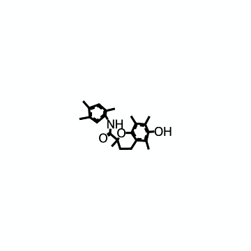 Cc1cc(C)c(NC(=O)C2(C)CCc3c(C)c(O)c(C)c(C)c3O2)cc1C